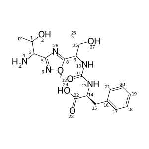 CC(O)C(N)c1noc(C(NC(=O)N[C@@H](Cc2ccccc2)C(=O)O)[C@H](C)O)n1